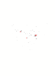 C/C(=N/N)N(CC(C)C)C1CC2CCC(C1)N2CC[C@H](NC(=O)C1CCCCC1)c1cc(C)cs1